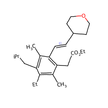 CCOC(=O)Cc1c(C)c(CC)c(CC(C)C)c(C)c1/C=C/C1CCOCC1